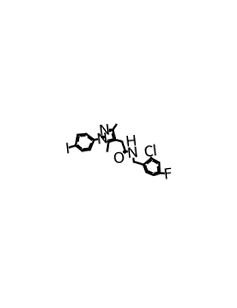 Cc1nn(-c2ccc(I)cc2)c(C)c1CC(=O)NCc1ccc(F)cc1Cl